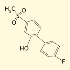 CS(=O)(=O)c1ccc(-c2ccc(F)cc2)c(O)c1